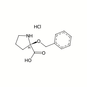 Cl.O=C(O)[C@]1(OCc2ccccc2)CCCN1